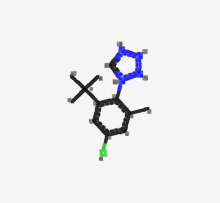 Cc1cc(Cl)cc(C(C)(C)C)c1-n1cnnn1